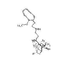 COc1ccccc1CCNCCN[C@@H]1C[C@@H]2CC([C@H]1C)C2(C)C